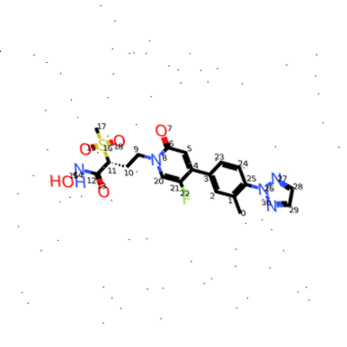 Cc1cc(-c2cc(=O)n(CC[C@H](C(=O)NO)S(C)(=O)=O)cc2F)ccc1-n1nccn1